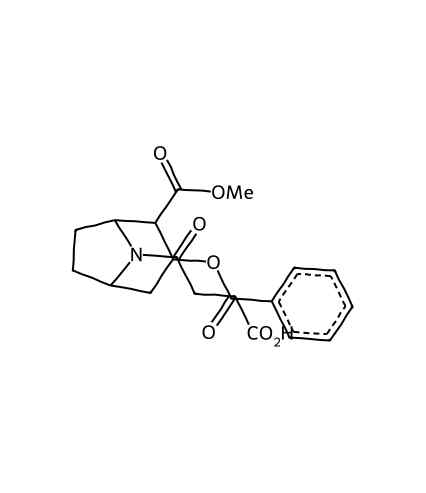 COC(=O)C1C(OC(=O)c2ccccc2)CC2CCC1N2C(=O)CCC(=O)O